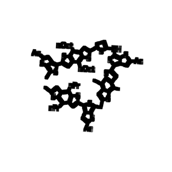 CCCCCCCCc1c2cc(-c3sc(C)c4sc(C(C)=O)cc34)sc2c(CCCCCCCC)c2cc(-c3ccc(Bc4sc(-c5cc6c(C)c7sc(Cc8sc(-c9cc%10c(CCC)c%11sc(C)cc%11c(CCC)c%10s9)c9cc(C(C)=O)sc89)cc7c(C)c6s5)c5cc(C(C)=O)sc45)s3)sc12